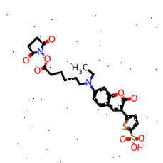 CCN(CCCCCC(=O)ON1C(=O)CCC1=O)c1ccc2cc(-c3ccc(S(=O)(=O)O)s3)c(=O)oc2c1